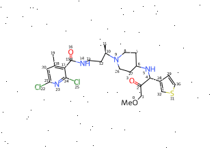 COCC(=O)C(NC1CCN([C@H](C)CCNC(=O)c2c(C)cc(Cl)nc2Cl)CC1)c1ccsc1